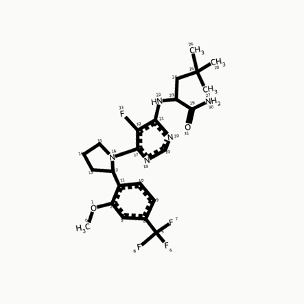 COc1cc(C(F)(F)F)ccc1C1CCCN1c1ncnc(NC(CC(C)(C)C)C(N)=O)c1F